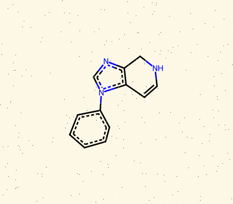 C1=Cc2c(ncn2-c2ccccc2)CN1